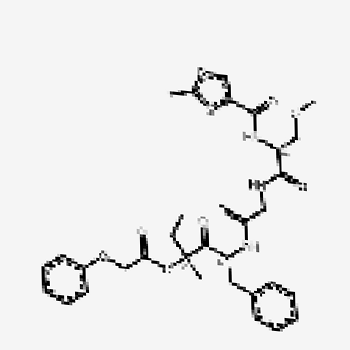 CC[C@@](C)(OC(=O)COc1ccccc1)C(=O)[C@H](Cc1ccccc1)NC(=O)CNC(=O)[C@H](COC)NC(=O)c1cnc(C)s1